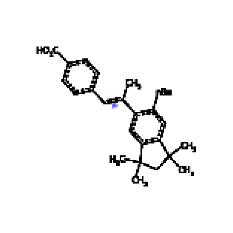 CCCCc1cc2c(cc1/C(C)=C/c1ccc(C(=O)O)cc1)C(C)(C)CC2(C)C